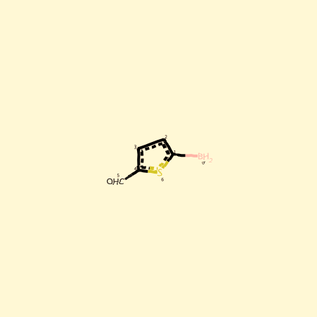 Bc1ccc(C=O)s1